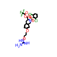 N=C(N)NOCCCOc1ccc2c(c1)CN(S(=O)(=O)c1c(Cl)cccc1Cl)C(C(=O)OC(=O)C(F)(F)F)C2